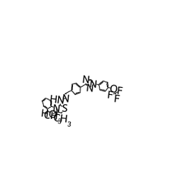 Cc1ccccc1N1C(N/N=C/c2ccc(-c3ncn(-c4ccc(OC(F)(F)F)cc4)n3)cc2)SCC1(C)O